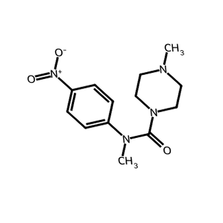 CN1CCN(C(=O)N(C)c2ccc([N+](=O)[O-])cc2)CC1